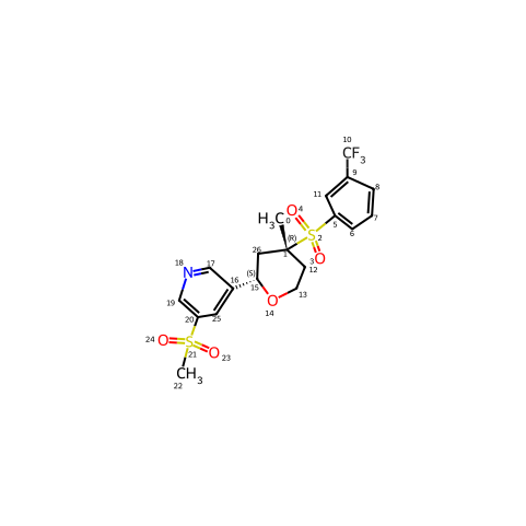 C[C@@]1(S(=O)(=O)c2cccc(C(F)(F)F)c2)CCO[C@H](c2cncc(S(C)(=O)=O)c2)C1